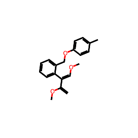 C=C(OC)/C(=C/OC)c1ccccc1COc1ccc(C)cc1